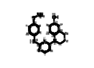 NSc1ccc(Nc2nccc(N3CCCc4cc(O)ccc43)n2)cc1